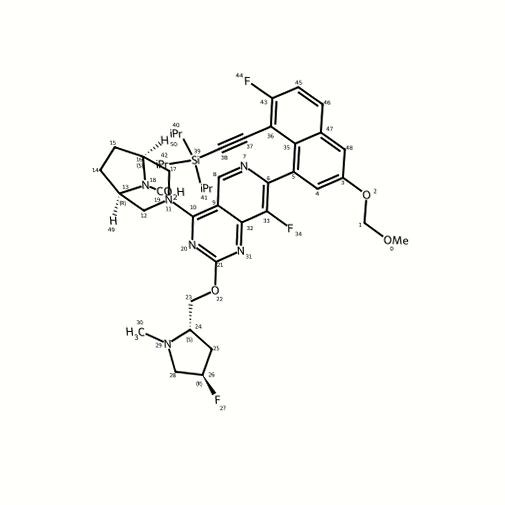 COCOc1cc(-c2ncc3c(N4C[C@H]5CC[C@@H](C4)N5C(=O)O)nc(OC[C@@H]4C[C@@H](F)CN4C)nc3c2F)c2c(C#C[Si](C(C)C)(C(C)C)C(C)C)c(F)ccc2c1